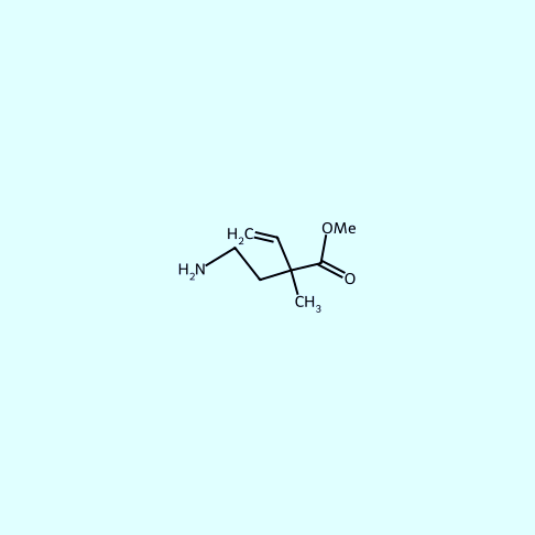 C=CC(C)(CCN)C(=O)OC